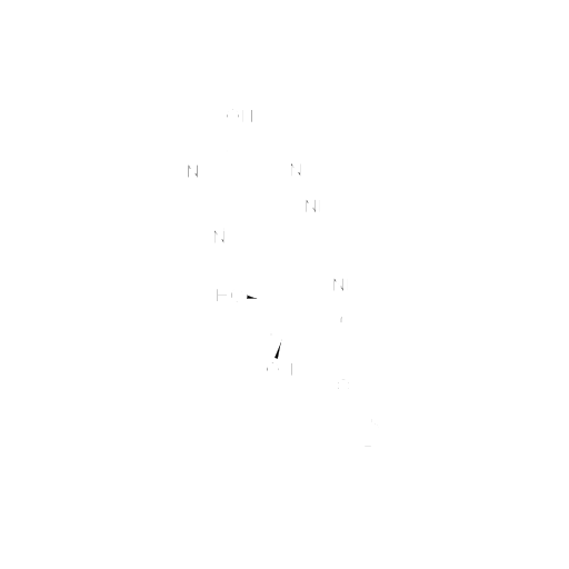 CCSOC[C@H]1N[C@@H](c2[nH]nc3c(O)ncnc23)[C@H](O)[C@@H]1O